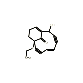 CSCOC12C#C/C=C/C#CC(O)C(=CCC1)C2=O